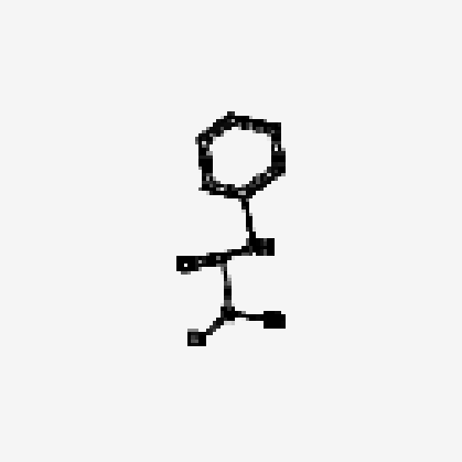 CCN(CC)C(=O)Nc1[c]cccc1